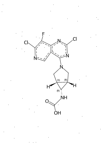 O=C(O)N[C@@H]1[C@@H]2CN(c3nc(Cl)nc4c(F)c(Cl)ncc34)C[C@@H]21